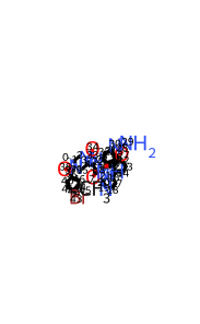 C[C@@H]1Cn2c(c(C(=O)NCc3ccccc3-c3ccncn3)n(-c3ccc4oc(N)nc4c3)c2=O)CN1C(=O)c1ccc(Br)c(C(F)(F)F)c1